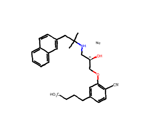 CC(C)(Cc1ccc2ccccc2c1)NC[C@@H](O)COc1cc(CCCC(=O)O)ccc1C#N.[Na]